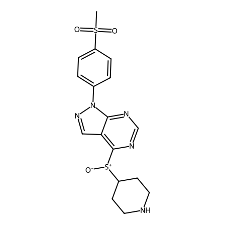 CS(=O)(=O)c1ccc(-n2ncc3c([S+]([O-])C4CCNCC4)ncnc32)cc1